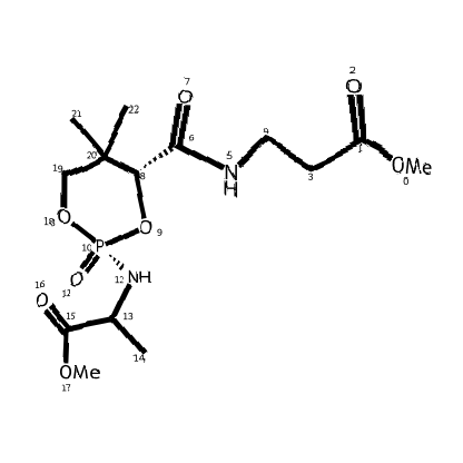 COC(=O)CCNC(=O)[C@@H]1O[P@](=O)(NC(C)C(=O)OC)OCC1(C)C